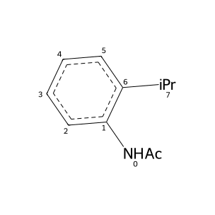 CC(=O)Nc1ccccc1C(C)C